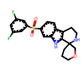 O=S(=O)(c1cc(F)cc(F)c1)c1ccc2c3c([nH]c2c1)C1(CCCOC1)NCC3